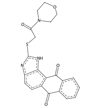 O=C1c2ccccc2C(=O)c2c1ccc1nc(SCC(=O)N3CCOCC3)[nH]c21